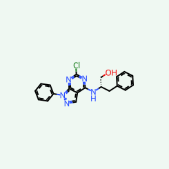 OC[C@H](Cc1ccccc1)Nc1nc(Cl)nc2c1cnn2-c1ccccc1